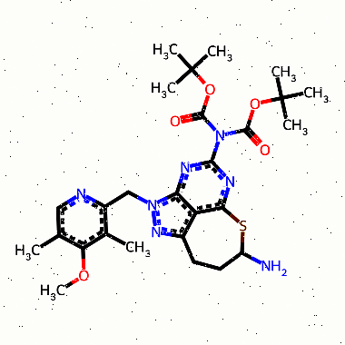 COc1c(C)cnc(Cn2nc3c4c(nc(N(C(=O)OC(C)(C)C)C(=O)OC(C)(C)C)nc42)SC(N)CC3)c1C